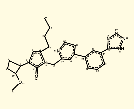 CCCCc1cn(C2CCC2OC)c(=O)n1Cc1cc(-c2cccc(-c3nnn[nH]3)c2)ccn1